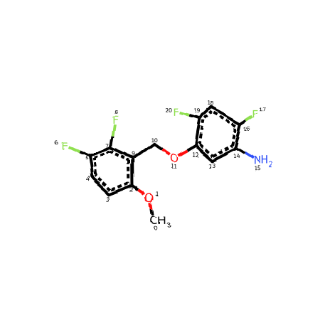 COc1ccc(F)c(F)c1COc1cc(N)c(F)cc1F